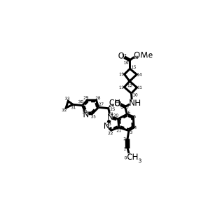 CC#Cc1ccc(C(=O)NC2CC3(C2)CC(C(=O)OC)C3)c2c1cnn2[C@@H](C)c1ccc(C2CC2)nc1